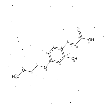 COCCOc1ccc(/C=C/C(=O)O)c(O)c1